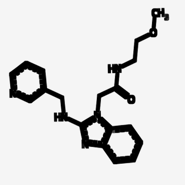 COCCNC(=O)Cn1c(NCc2cccnc2)nc2ccccc21